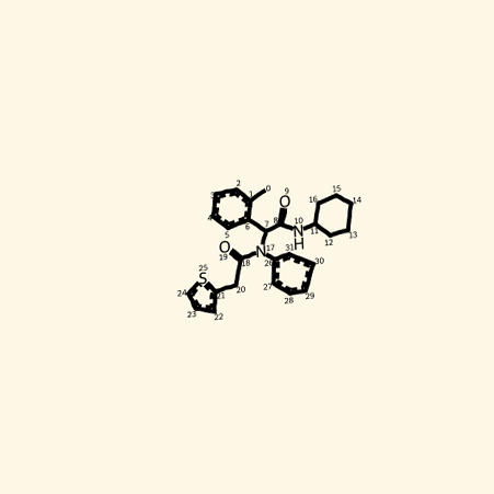 Cc1ccccc1C(C(=O)NC1CCCCC1)N(C(=O)Cc1cccs1)c1ccccc1